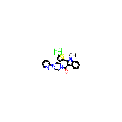 Cl.Cl.Cn1c(-c2cccs2)c(C(=O)N2CCN(c3ccccn3)CC2)c2ccccc21